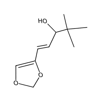 CC(C)(C)C(O)C=CC1=COCO1